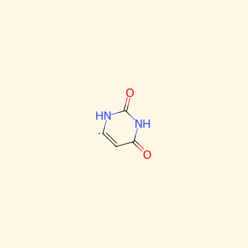 O=c1c[c][nH]c(=O)[nH]1